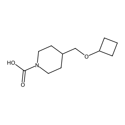 O=C(O)N1CCC(COC2CCC2)CC1